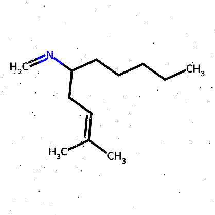 C=NC(CC=C(C)C)CCCCC